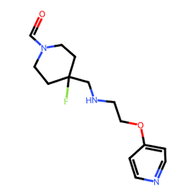 O=CN1CCC(F)(CNCCOc2ccncc2)CC1